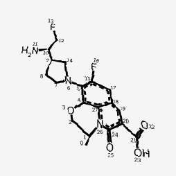 C[C@H]1COc2c(N3CC[C@@H]([C@@H](N)CF)C3)c(F)cc3cc(C(=O)O)c(=O)n1c23